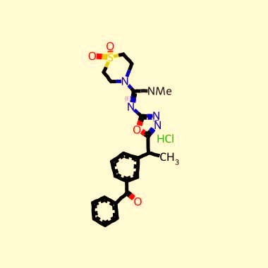 CN/C(=N\c1nnc(C(C)c2cccc(C(=O)c3ccccc3)c2)o1)N1CCS(=O)(=O)CC1.Cl